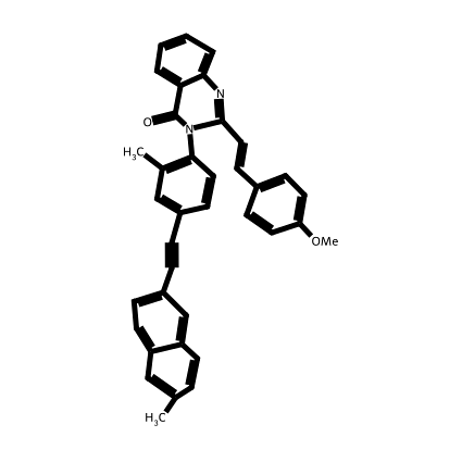 COc1ccc(/C=C/c2nc3ccccc3c(=O)n2-c2ccc(C#Cc3ccc4cc(C)ccc4c3)cc2C)cc1